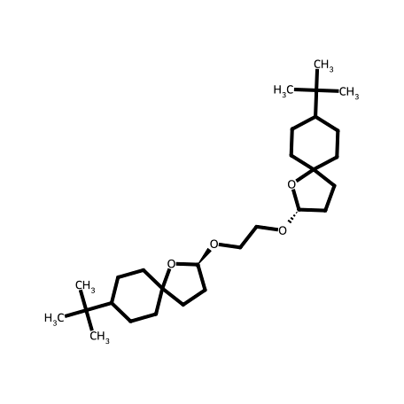 CC(C)(C)C1CCC2(CC1)CC[C@H](OCCO[C@H]1CCC3(CCC(C(C)(C)C)CC3)O1)O2